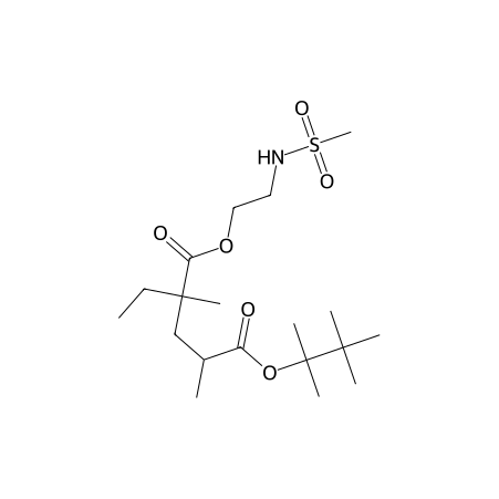 CCC(C)(CC(C)C(=O)OC(C)(C)C(C)(C)C)C(=O)OCCNS(C)(=O)=O